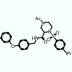 CC(=O)N1CCN(S(=O)(=O)c2ccc(C(C)C)cc2)C(C(=O)NCc2ccc(Oc3ccccc3)cc2)C1